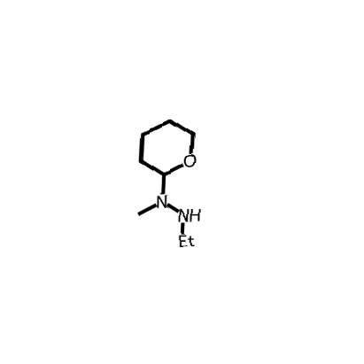 CCNN(C)C1CCCCO1